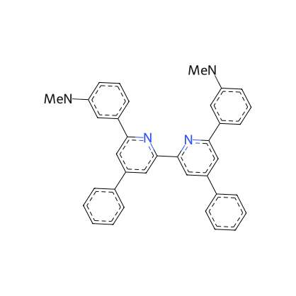 CNc1cccc(-c2cc(-c3ccccc3)cc(-c3cc(-c4ccccc4)cc(-c4cccc(NC)c4)n3)n2)c1